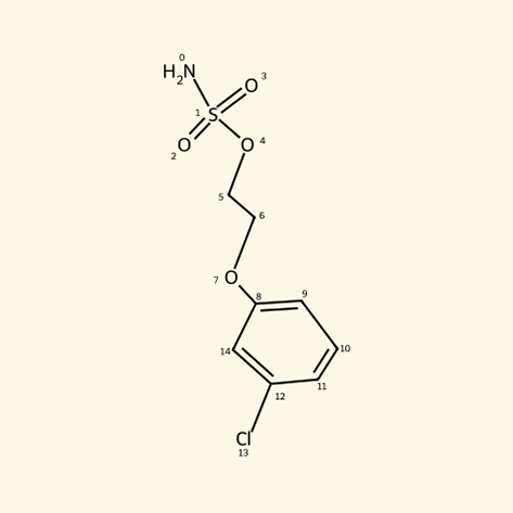 NS(=O)(=O)OCCOc1cccc(Cl)c1